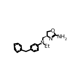 CCN(C[C@H]1COC(N)=N1)c1ccc(Cc2ccccc2)cc1